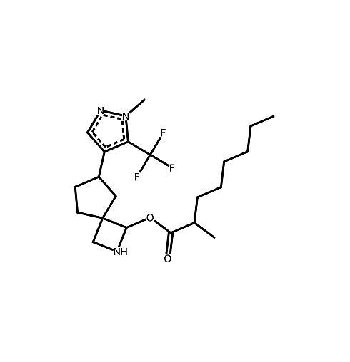 CCCCCCC(C)C(=O)OC1NCC12CCC(c1cnn(C)c1C(F)(F)F)C2